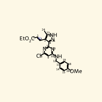 CCOC(=O)/C=C/c1c(-c2nc(Cl)cc(NCc3ccc(OC)cc3)n2)n[nH]c1C